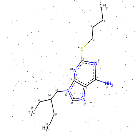 CCCCSc1nc(N)c2ncn(CC(CC)CC)c2n1